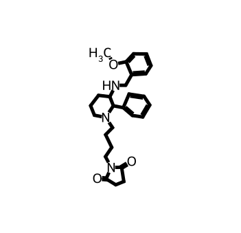 COc1ccccc1CNC1CCCN(CCCCN2C(=O)CCC2=O)C1c1ccccc1